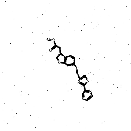 COC(=O)CC1COc2cc(OCc3csc(-c4cnccn4)n3)ccc21